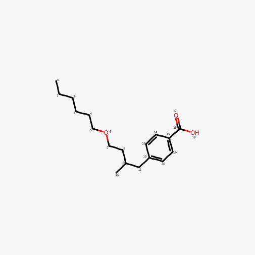 CCCCCCOCCC(C)Cc1ccc(C(=O)O)cc1